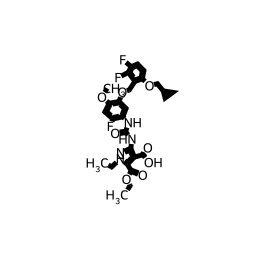 CCOC(=O)c1c(C(=O)O)c(NC(=O)Nc2cc(OCc3c(OCC4CC4)ccc(F)c3F)c(OC)cc2F)nn1CC